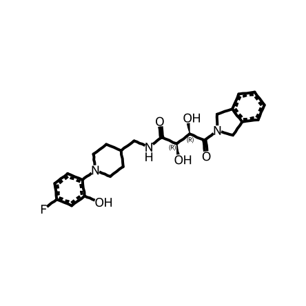 O=C(NCC1CCN(c2ccc(F)cc2O)CC1)[C@H](O)[C@@H](O)C(=O)N1Cc2ccccc2C1